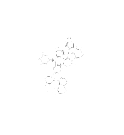 CC1(C)c2ccccc2-c2c(-c3ccc(N(c4ccccc4)c4ccc5c(c4)C4(c6ccccc6-c6ccccc64)c4ccccc4-5)cc3)ccc3cccc1c23